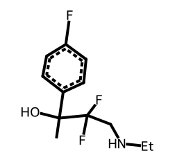 CCNCC(F)(F)C(C)(O)c1ccc(F)cc1